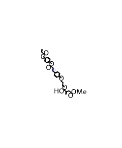 C=CC(=O)Oc1ccc(OC(=O)/C=C/c2ccc(OCCCOC(O)C(=C)CC(=O)OC)cc2)cc1